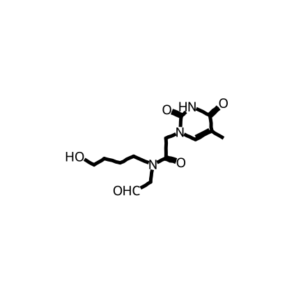 Cc1cn(CC(=O)N(CC=O)CCCCO)c(=O)[nH]c1=O